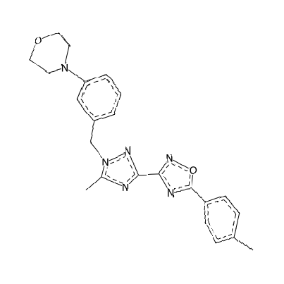 Cc1ccc(-c2nc(-c3nc(C)n(Cc4cccc(N5CCOCC5)c4)n3)no2)cc1